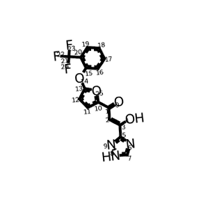 O=C(C=C(O)c1nc[nH]n1)c1ccc(Oc2ccccc2C(F)(F)F)o1